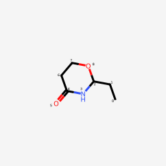 CCC1NC(=O)CCO1